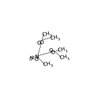 CCCCCCCC(=O)N(CCCN1CCCCC1)C(CCCCCCCCCC(=O)OCC(CCC)CCCCCC)CCCCCCCCC(=O)OCC(CCCC)CCCCCCC